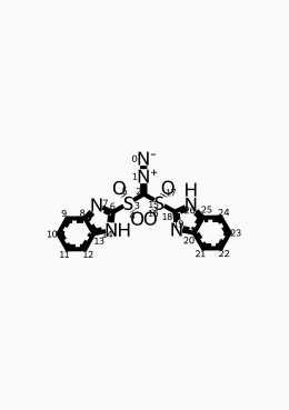 [N-]=[N+]=C(S(=O)(=O)c1nc2ccccc2[nH]1)S(=O)(=O)c1nc2ccccc2[nH]1